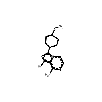 COC1CCC(c2nc(Br)c3c(N)nccn23)CC1